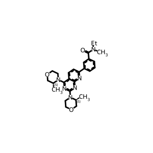 CCN(C)C(=O)c1cccc(-c2ccc3c(N4CCOC[C@@H]4C)nc(N4CCOC[C@@H]4C)nc3n2)c1